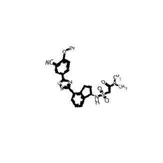 CC(C)Oc1ccc(-c2nc(-c3cccc4c3CC[C@@H]4NS(=O)(=O)CC(=O)N(C)C)no2)cc1C#N